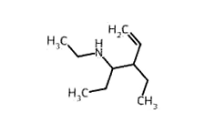 C=CC(CC)C(CC)NCC